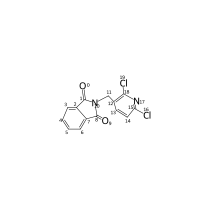 O=C1c2ccccc2C(=O)N1Cc1ccc(Cl)nc1Cl